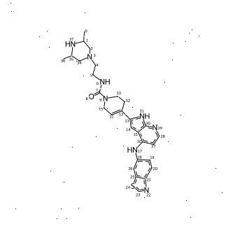 CC1CN(CCNC(=O)N2CC=C(c3cc4c(Nc5ccc6ncsc6c5)ccnc4[nH]3)CC2)CC(C)N1